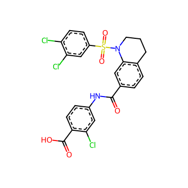 O=C(Nc1ccc(C(=O)O)c(Cl)c1)c1ccc2c(c1)N(S(=O)(=O)c1ccc(Cl)c(Cl)c1)CCC2